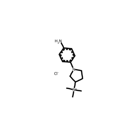 C[N+](C)(C)C1CCN(c2ccc(N)cc2)C1.[Cl-]